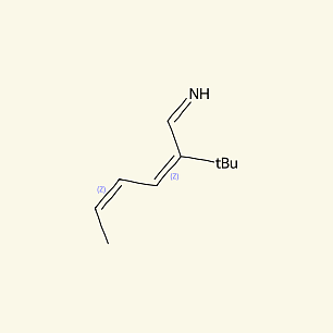 C/C=C\C=C(/C=N)C(C)(C)C